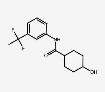 O=C(Nc1[c]ccc(C(F)(F)F)c1)C1CCC(O)CC1